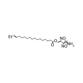 CC/C=C/CCCCCCCCCCCCCC(=O)O/C=C(\N=O)C(N=O)=NN